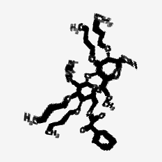 CCCCOC1C(N=[N+]=[N-])[C@H](O[C@@H]2C(C(=O)OC)OC(O)[C@@H](OCCCC)C2OCCCC)OC(COC(=O)C(=O)c2ccccc2)[C@H]1OCCCC